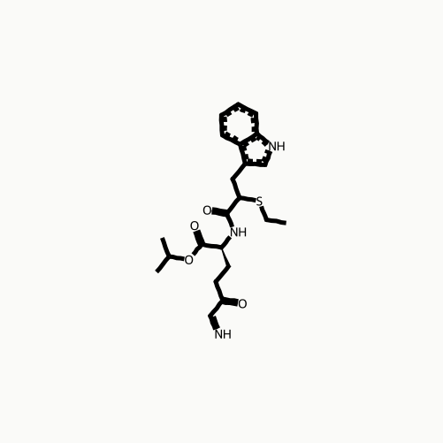 CCSC(Cc1c[nH]c2ccccc12)C(=O)N[C@@H](CCC(=O)C=N)C(=O)OC(C)C